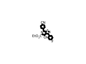 CCOC(=O)c1nc(-c2ccc(C#N)cc2)c2snc(-c3ccc(F)cc3)c2c1O